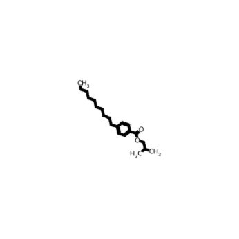 CCCCCCCCCCc1ccc(C(=O)OCC(C)C)cc1